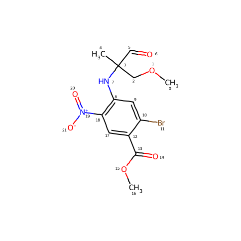 COCC(C)(C=O)Nc1cc(Br)c(C(=O)OC)cc1[N+](=O)[O-]